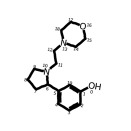 Oc1cccc(C2CCCN2CCN2CCOCC2)c1